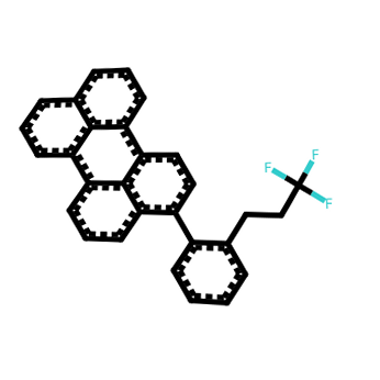 FC(F)(F)CCc1ccccc1-c1ccc2c3cccc4cccc(c5cccc1c52)c43